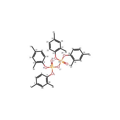 Cc1ccc(OP(=O)(Oc2ccc(C)cc2C)OP(=O)(Oc2ccc(C)cc2C)Oc2ccc(C)cc2C)c(C)c1